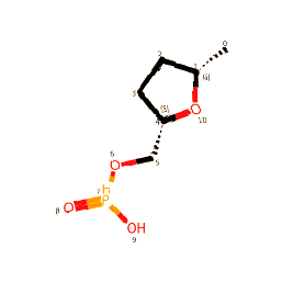 C[C@H]1CC[C@@H](CO[PH](=O)O)O1